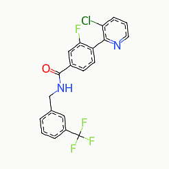 O=C(NCc1cccc(C(F)(F)F)c1)c1ccc(-c2ncccc2Cl)c(F)c1